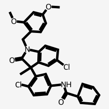 COc1ccc(CN2C(=O)C(C)(c3cc(NC(=O)c4ccccc4)ccc3Cl)c3cc(Cl)ccc32)c(OC)c1